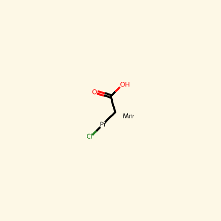 O=C(O)[CH2][Pr][Cl].[Mn]